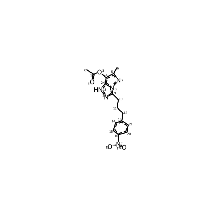 CC(=O)Oc1c(C)nn2c(CCCc3ccc([N+](=O)[O-])cc3)n[nH]c12